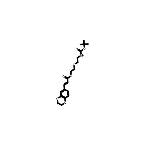 CC(C)(C)OC(=O)NCCOCCOC(=O)/C=C/c1ccc2c(c1)OCCO2